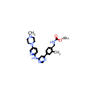 Cc1cc(-c2cc(Nc3ccc(N4CCN(C)CC4)cn3)ncn2)ccc1CNC(=O)OC(C)(C)C